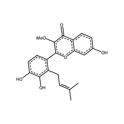 COc1c(-c2ccc(O)c(O)c2CC=C(C)C)oc2cc(O)ccc2c1=O